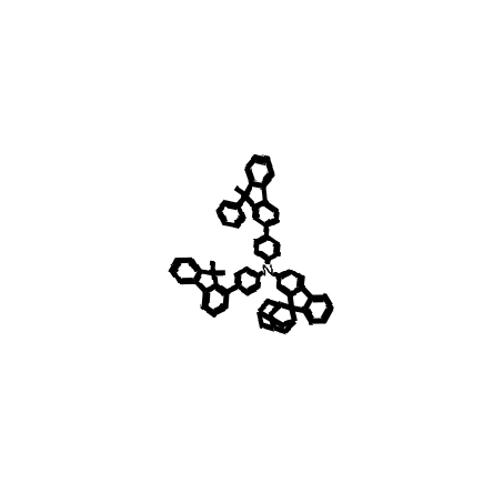 CC1(C)c2ccccc2-c2cccc(-c3ccc(N(c4ccc(-c5ccc6c(c5)C(C)(c5ccccc5)c5ccccc5-6)cc4)c4ccc5c(c4)C4(c6ccccc6-5)C5CC6CC(C5)CC4C6)cc3)c21